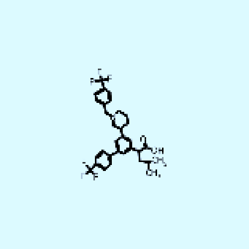 CC(C)CC(C(=O)O)c1cc(-c2ccc(C(F)(F)F)cc2)cc(C2CCCN(Cc3ccc(C(F)(F)F)cc3)C2)c1